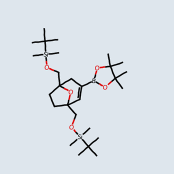 CC1(C)OB(C2=CC3(CO[Si](C)(C)C(C)(C)C)CCC(CO[Si](C)(C)C(C)(C)C)(C2)O3)OC1(C)C